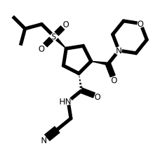 CC(C)CS(=O)(=O)[C@@H]1C[C@@H](C(=O)NCC#N)[C@H](C(=O)N2CCOCC2)C1